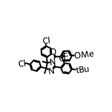 CCOc1cc(C(C)(C)C)ccc1C1=NC(C)(c2ccc(Cl)cc2)C(C)(c2ccc(Cl)cc2)N1C(=O)c1ccc(OC)cc1